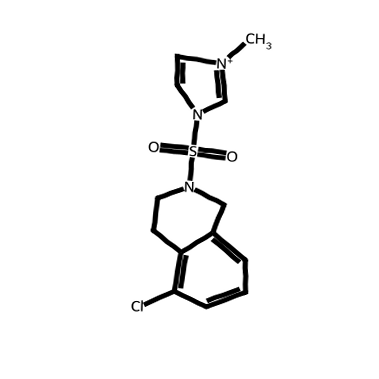 C[n+]1ccn(S(=O)(=O)N2CCc3c(Cl)cccc3C2)c1